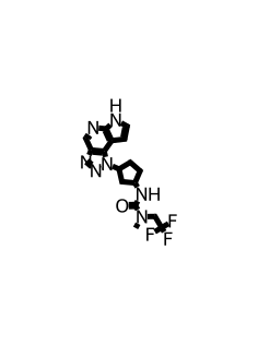 CN(CC(F)(F)F)C(=O)NC1CCC(n2nnc3cnc4[nH]ccc4c32)C1